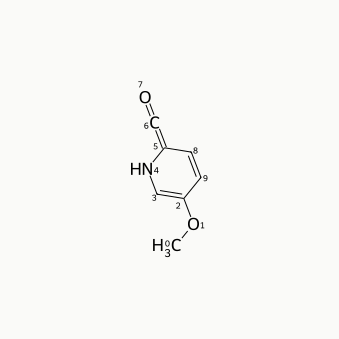 COC1=CNC(=C=O)C=C1